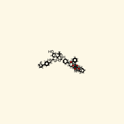 Cn1nccc1-c1ccc(CNC(=O)[C@@H]2C[C@@H](O)CN2C(=O)[C@@H](NC(=O)[C@H]2CC[C@@H](N3CCC(c4cnc(N5C6CCC5CN(c5cc(-c7ccccc7O)nnc5N)C6)nc4)CC3)CC2)C(C)(C)C)cc1